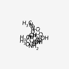 CC1=C(C(N)=O)C(=O)[C@@]2(O)C(O)=C3C(=O)c4c(O)ccc(-c5cccc(C(=O)N6CCN(C)CC6)c5)c4C[C@H]3C[C@H]2[C@H]1N(C)C